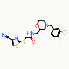 N#Cc1csc(SCC(=O)NCC2CN(Cc3ccc(F)c(Cl)c3)CCO2)n1